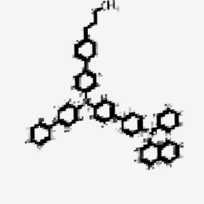 CCCCc1ccc(-c2ccc(N(c3ccc(-c4ccccc4)cc3)c3ccc(-c4ccc(N(c5ccccc5)c5cccc6ccccc56)cc4)cc3)cc2)cc1